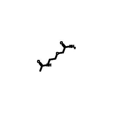 CC(=O)NCCOCC(N)=O